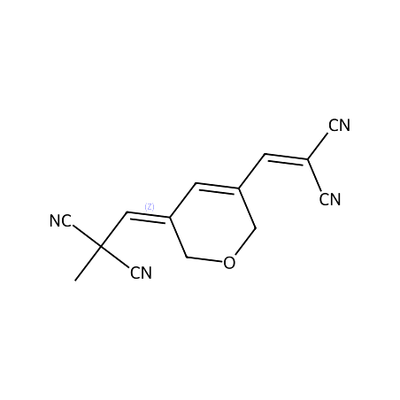 CC(C#N)(C#N)/C=C1/C=C(C=C(C#N)C#N)COC1